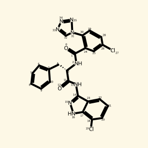 O=C(N[C@@H](Cc1ccccc1)C(=O)Nc1n[nH]c2c(Cl)cccc12)c1cc(Cl)ccc1-n1cnnn1